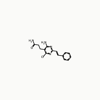 NC(=O)CCc1c(N)nc(/C=C/c2ccccc2)nc1Cl